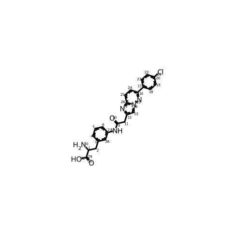 NC(Cc1cccc(NC(=O)Cc2cn3nc(-c4ccc(Cl)cc4)ccc3n2)c1)C(=O)O